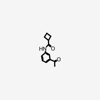 CC(=O)c1cccc(NC(=O)C2CCC2)c1